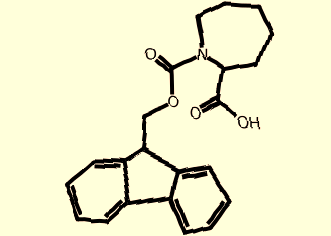 O=C(O)C1CCCCCN1C(=O)OCC1c2ccccc2-c2ccccc21